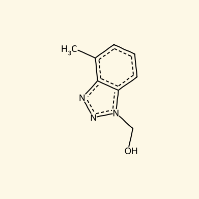 Cc1cccc2c1nnn2CO